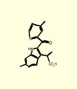 Cc1ccnc(C(=O)c2[nH]c3cc(C)ccc3c2C(C)C(=O)O)c1